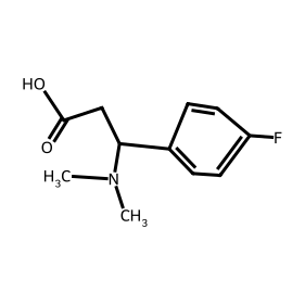 CN(C)C(CC(=O)O)c1ccc(F)cc1